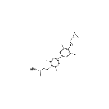 CCCCC(C)CCc1c(C)cc(-c2cc(C)c(OCC3CC3)c(C)c2)cc1C